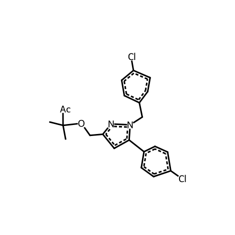 CC(=O)C(C)(C)OCc1cc(-c2ccc(Cl)cc2)n(Cc2ccc(Cl)cc2)n1